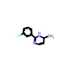 CC1C=CN=C(c2cccc(F)c2)N1